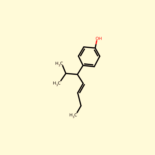 CCC=CC(c1ccc(O)cc1)C(C)C